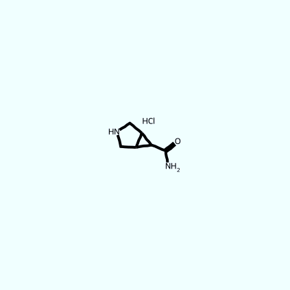 Cl.NC(=O)C1C2CNCC21